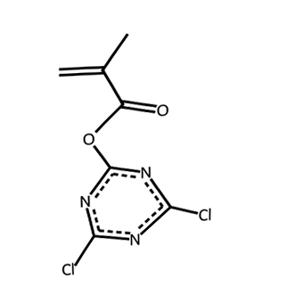 C=C(C)C(=O)Oc1nc(Cl)nc(Cl)n1